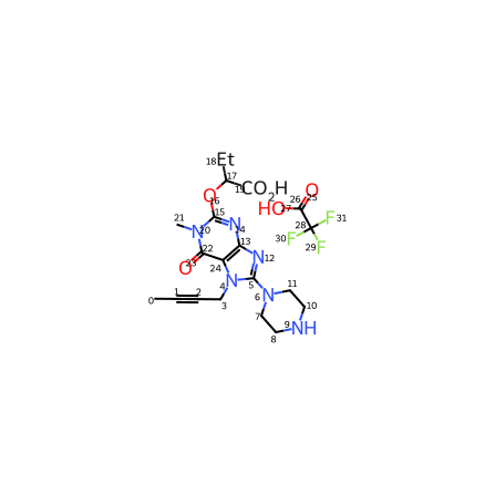 CC#CCn1c(N2CCNCC2)nc2nc(OC(CC)C(=O)O)n(C)c(=O)c21.O=C(O)C(F)(F)F